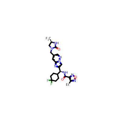 CCc1nonc1C(=O)N[C@H](c1cn2ncc(CN3C[C@@H](C(F)(F)F)NC3=O)cc2n1)C1CCC(F)(F)CC1